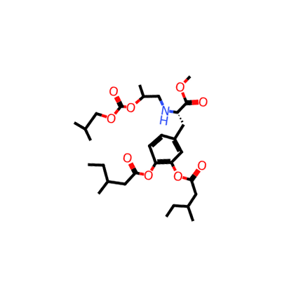 CCC(C)CC(=O)Oc1ccc(C[C@H](NCC(C)OC(=O)OCC(C)C)C(=O)OC)cc1OC(=O)CC(C)CC